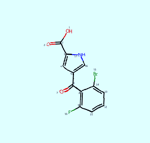 O=C(O)c1cc(C(=O)c2c(F)cccc2Br)c[nH]1